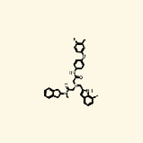 Cc1cc(Oc2ccc(NC(=O)CN(CC(=O)N(C)C3Cc4ccccc4C3)Cc3cc4cccc(F)c4[nH]3)cc2)ccc1F